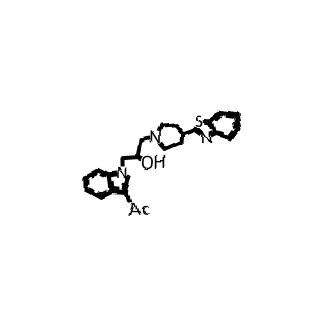 CC(=O)c1cn(CC(O)CN2CCC(c3nc4ccccc4s3)CC2)c2ccccc12